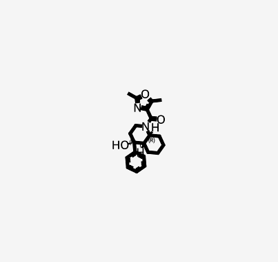 Cc1nc(C(=O)N2CC[C@](O)(c3ccccc3)[C@H]3CCCC[C@H]32)c(C)o1